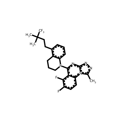 Cc1nnc2nc(N3CCCc4c(CCC(C)(C)C(F)(F)F)cccc43)c3c(F)c(F)ccc3n12